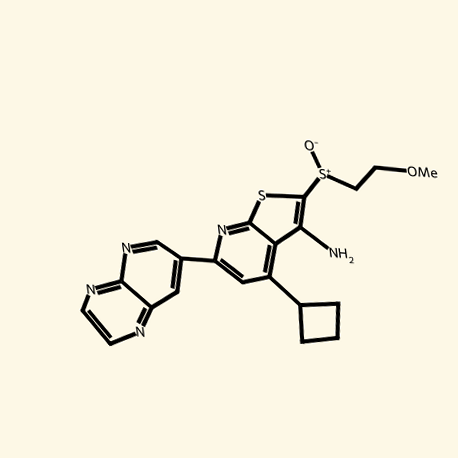 COCC[S+]([O-])c1sc2nc(-c3cnc4nccnc4c3)cc(C3CCC3)c2c1N